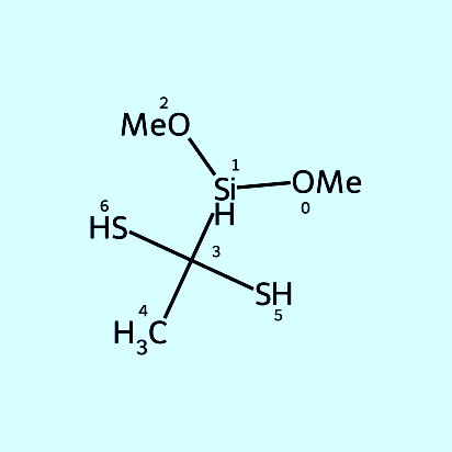 CO[SiH](OC)C(C)(S)S